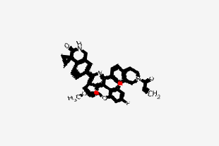 C=CC(=O)N1CCc2ccc(-c3nc(-c4ccc5c(c4)CNC(=O)C54CC4)c4ccsc4c3-c3c(F)cc(F)cc3OCCOC)cc2C1